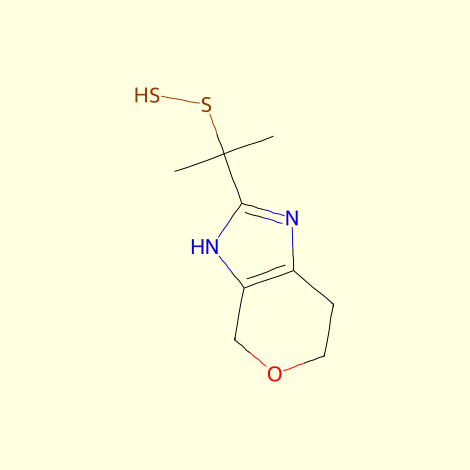 CC(C)(SS)c1nc2c([nH]1)COCC2